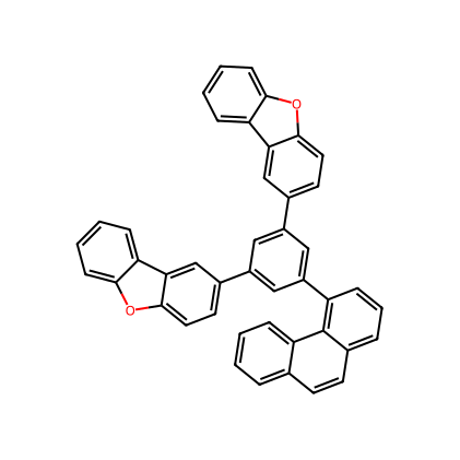 c1ccc2c(c1)ccc1cccc(-c3cc(-c4ccc5oc6ccccc6c5c4)cc(-c4ccc5oc6ccccc6c5c4)c3)c12